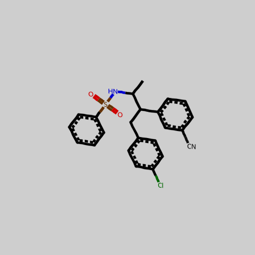 CC(NS(=O)(=O)c1ccccc1)C(Cc1ccc(Cl)cc1)c1cccc(C#N)c1